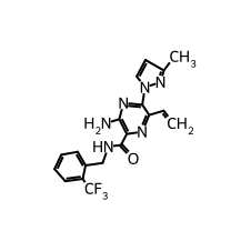 C=Cc1nc(C(=O)NCc2ccccc2C(F)(F)F)c(N)nc1-n1ccc(C)n1